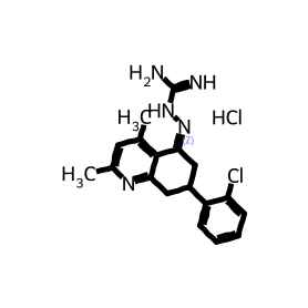 Cc1cc(C)c2c(n1)CC(c1ccccc1Cl)C/C2=N/NC(=N)N.Cl